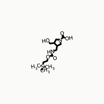 C[Si](C)(C)CCOC(=O)NCC1CN(C(=O)O)CC1CO